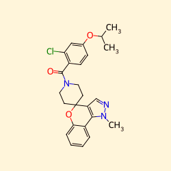 CC(C)Oc1ccc(C(=O)N2CCC3(CC2)Oc2ccccc2-c2c3cnn2C)c(Cl)c1